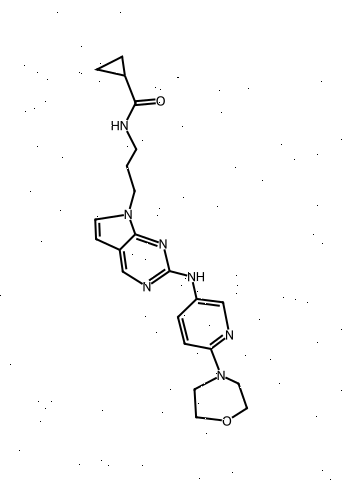 O=C(NCCCn1ccc2cnc(Nc3ccc(N4CCOCC4)nc3)nc21)C1CC1